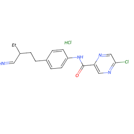 CCC(C=N)CCc1ccc(NC(=O)c2cnc(Cl)cn2)cc1.Cl